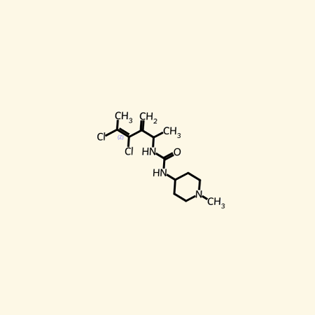 C=C(/C(Cl)=C(\C)Cl)C(C)NC(=O)NC1CCN(C)CC1